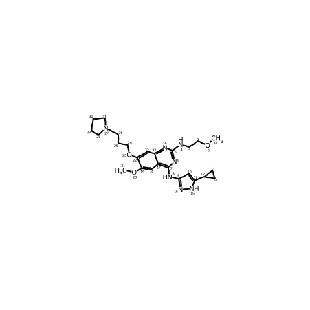 COCCNc1nc(Nc2cc(C3CC3)[nH]n2)c2cc(OC)c(OCCCN3CCCC3)cc2n1